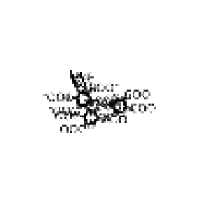 O=C([O-])c1cc(C(=O)[O-])c(C(=O)[O-])cc1C(=O)[O-].O=C([O-])c1cc(C(=O)[O-])c(C(=O)[O-])cc1C(=O)[O-].O=C([O-])c1cc(C(=O)[O-])c(C(=O)[O-])cc1C(=O)[O-].[La+3].[La+3].[La+3].[La+3]